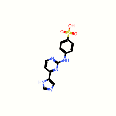 O=S(=O)(O)c1ccc(Nc2nccc(-c3cnc[nH]3)n2)cc1